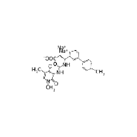 Cc1ccc(-c2cccc([C@H](CC(=O)[O-])NC(=O)Nc3c([O-])c(C)cn(C)c3=O)c2)cc1.[Na+].[Na+]